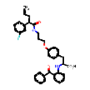 C=CCC(C(=O)NCCCOc1ccc(CC(Nc2ccccc2C(=O)c2ccccc2)C(=O)O)cc1)c1cccc(F)c1